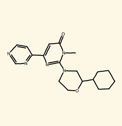 Cn1c(N2CCOC(C3CCCCC3)C2)nc(-c2ccncn2)cc1=O